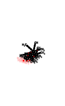 BBB(B)B(B(B)B)c1c(B(B(B)B)B(B)B)c(C)c(C)c2c(C)c(-c3c4c(C)c(C)c(C)c(C)c4c(C)c4c(-c5c(C)c6c(C)c(C)c(C#CC)c(C#CC#C)c6c6c(C#CC#CC)c(C#CC#CC#C)c(C#CC#CC#CC)c(C#CC#CC#CC#C)c56)c(C)c(C)c(C)c34)c(BB)c(B)c12